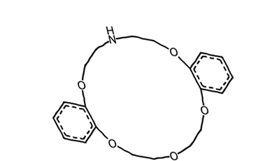 c1ccc2c(c1)OCCNCCOc1ccccc1OCCOCCO2